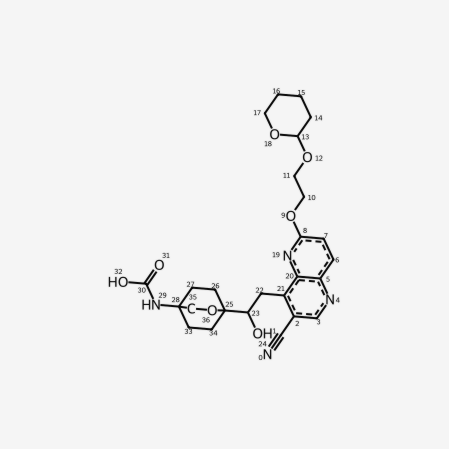 N#Cc1cnc2ccc(OCCOC3CCCCO3)nc2c1CC(O)C12CCC(NC(=O)O)(CC1)CO2